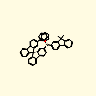 CC1(C)c2ccccc2-c2ccc(N(c3ccccc3)c3ccc4c(c3)[C@]3(c5ccccc5-c5ccc(-c6ccccc6)cc53)c3ccccc3-4)cc21